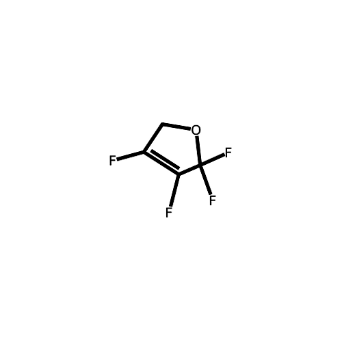 FC1=C(F)C(F)(F)OC1